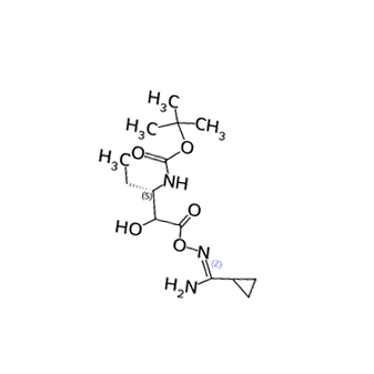 CC[C@H](NC(=O)OC(C)(C)C)C(O)C(=O)O/N=C(\N)C1CC1